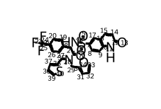 O=C(C(NS(=O)(=O)c1ccc2[nH]c(=O)ccc2c1)c1ccc(C(F)(F)F)cc1)N(Cc1ccco1)Cc1cccs1